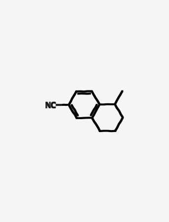 CC1CCCc2cc(C#N)ccc21